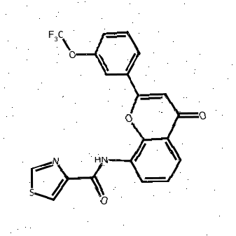 O=C(Nc1cccc2c(=O)cc(-c3cccc(OC(F)(F)F)c3)oc12)c1cscn1